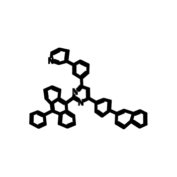 c1ccc(-c2c3ccccc3c(-c3nc(-c4ccc(-c5ccc6ccccc6c5)cc4)cc(-c4cccc(-c5cccnc5)c4)n3)c3ccccc23)cc1